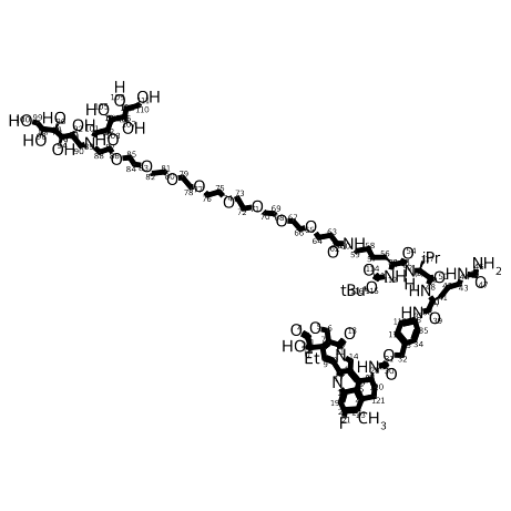 CC[C@@]1(O)C(=O)OCc2c1cc1n(c2=O)Cc2c-1nc1cc(F)c(C)c3c1c2[C@@H](NC(=O)OCc1ccc(NC(=O)[C@H](CCCNC(N)=O)NC(=O)[C@@H](NC(=O)[C@H](CCCCNC(=O)CCOCCOCCOCCOCCOCCOCCOCCOCCN(C[C@H](O)[C@@H](O)[C@H](O)[C@H](O)CO)C[C@H](O)[C@@H](O)[C@H](O)[C@H](O)CO)NC(=O)OC(C)(C)C)C(C)C)cc1)CC3